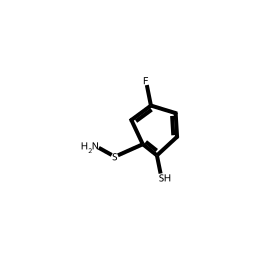 NSc1cc(F)ccc1S